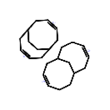 C1=C\CC2C/C=C\CC(C/1)CC2.C1=C\CC2CC/C=C\CC(CC/1)C2